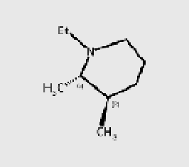 CCN1CCC[C@@H](C)[C@@H]1C